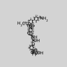 CCOc1ccc(-c2ccc(CN)cc2)cc1S(=O)(=O)N1CCC2(CC1)C[C@H](NC[C@H](O)COc1cccc(S(=O)(=O)C(F)(F)CO)c1)CO2